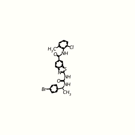 Cc1cccc(Cl)c1NC(=O)c1ccc2nc(NC(=O)N[C@@H](C)c3ccc(Br)cc3)sc2c1